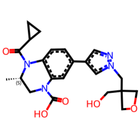 C[C@H]1CN(C(=O)O)c2cc(-c3cnn(CC4(CO)COC4)c3)ccc2N1C(=O)C1CC1